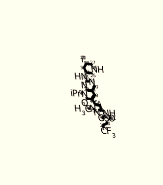 CC(C)n1c(=O)c(-c2cc(NS(=O)(=O)CCC(F)(F)F)nn2C)cc2cnc(N[C@@H]3CNC[C@@H](F)C3)nc21